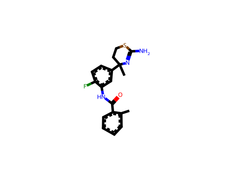 Cc1ccccc1C(=O)Nc1cc(C2(C)CCSC(N)=N2)ccc1F